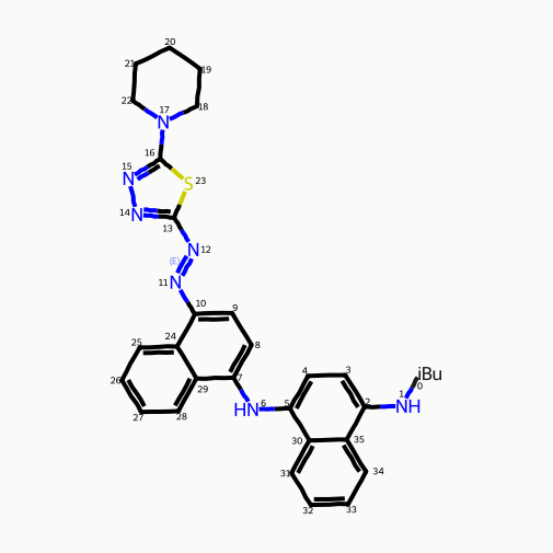 CCC(C)Nc1ccc(Nc2ccc(/N=N/c3nnc(N4CCCCC4)s3)c3ccccc23)c2ccccc12